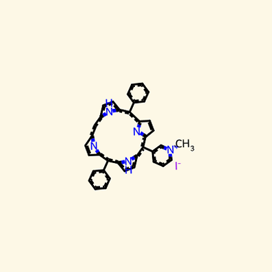 C[n+]1cccc(-c2c3nc(c(-c4ccccc4)c4ccc(cc5nc(c(-c6ccccc6)c6ccc2[nH]6)C=C5)[nH]4)C=C3)c1.[I-]